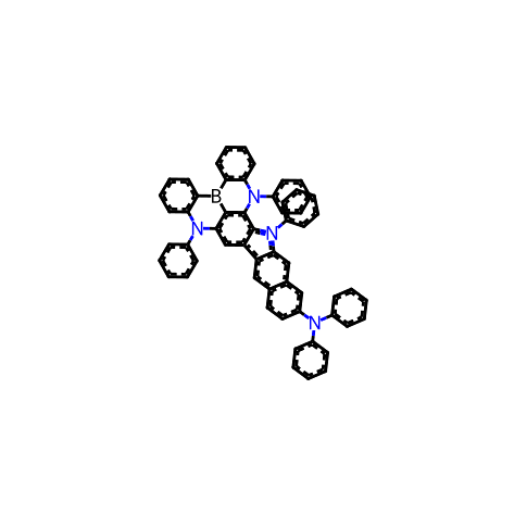 c1ccc(N(c2ccccc2)c2ccc3cc4c5cc6c7c(c5n(-c5ccccc5)c4cc3c2)N(c2ccccc2)c2ccccc2B7c2ccccc2N6c2ccccc2)cc1